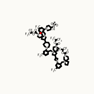 CS(=O)(=O)NC1CCN(c2cc(C(F)(F)F)ccc2CN2CC(C3CCCN(c4cc(C(F)(F)F)ccc4CN4CC(C5CN(c6cc(C(F)(F)F)ccc6CN6CCCC67CCN(C(=O)OC(C(F)(F)F)C(F)(F)F)CC7)C5)CC45CCN(C(=O)OC(C(F)(F)F)C(F)(F)F)CC5)CC3)CC23CCN(C(=O)OC(C(F)(F)F)C(F)(F)F)CC3)CC1